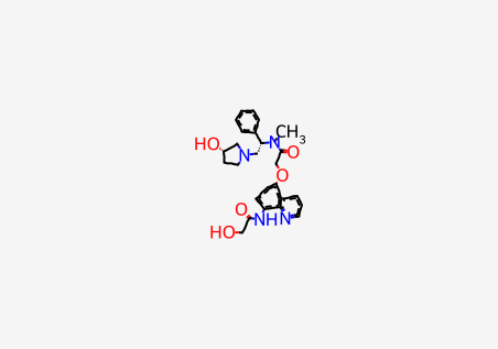 CN(C(=O)COc1ccc(NC(=O)CO)c2ncccc12)[C@H](CN1CC[C@H](O)C1)c1ccccc1